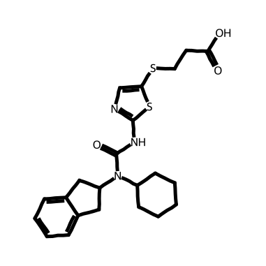 O=C(O)CCSc1cnc(NC(=O)N(C2CCCCC2)C2Cc3ccccc3C2)s1